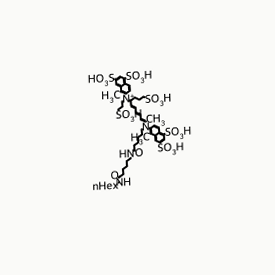 CCCCCCNC(=O)CCCCCNC(=O)CCCCCN(/C(C)=C/C=C/C=C/C(CCCS(=O)(=O)O)=[N+](\CCCS(=O)(=O)O)c1ccc2c(S(=O)(=O)O)cc(S(=O)(=O)O)cc2c1C)c1ccc2c(S(=O)(=O)O)cc(S(=O)(=O)O)cc2c1C